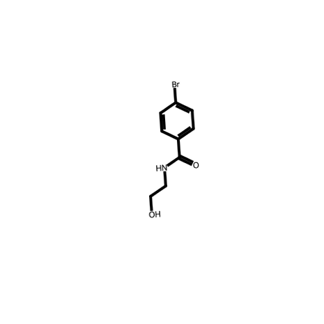 O=C(NCCO)c1ccc(Br)cc1